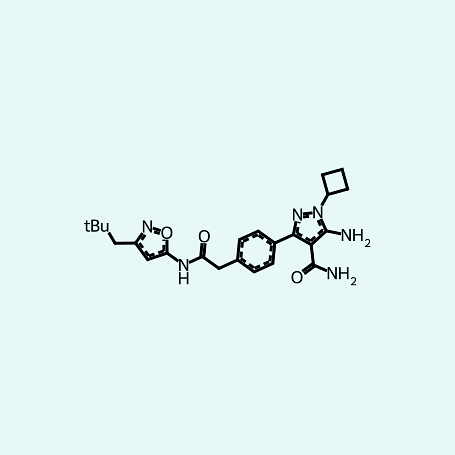 CC(C)(C)Cc1cc(NC(=O)Cc2ccc(-c3nn(C4CCC4)c(N)c3C(N)=O)cc2)on1